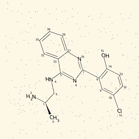 C[C@@H](N)CNc1nc(-c2cc(Cl)ccc2O)nc2ccccc12